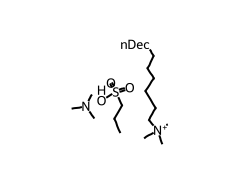 CCCCCCCCCCCCCCCC[N+](C)(C)C.CCCS(=O)(=O)O.CN(C)C